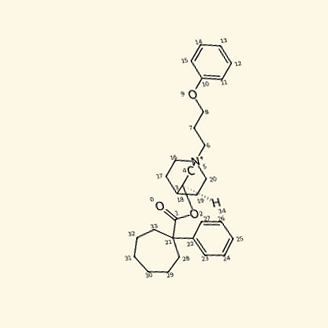 O=C(O[C@@H]1C[N+]2(CCCOc3ccccc3)CCC1CC2)C1(c2ccccc2)CCCCCC1